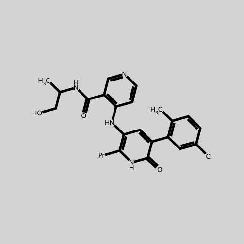 Cc1ccc(Cl)cc1-c1cc(Nc2ccncc2C(=O)NC(C)CO)c(C(C)C)[nH]c1=O